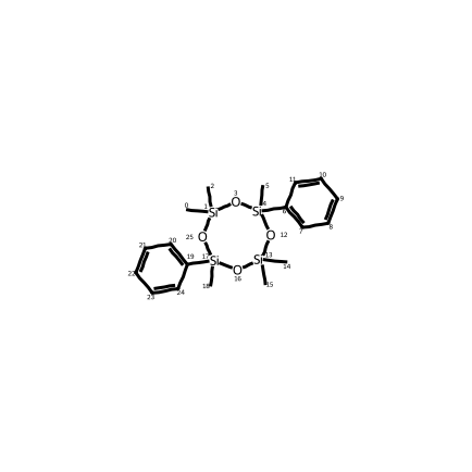 C[Si]1(C)O[Si](C)(c2ccccc2)O[Si](C)(C)O[Si](C)(c2ccccc2)O1